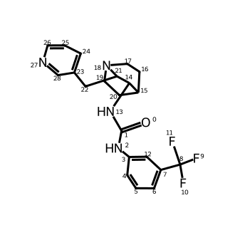 O=C(Nc1cccc(C(F)(F)F)c1)NC1C2CCN(CC2)C1Cc1cccnc1